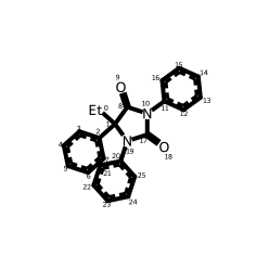 CCC1(c2ccccc2)C(=O)N(c2ccccc2)C(=O)N1c1ccccc1